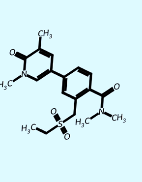 CCS(=O)(=O)Cc1cc(-c2cc(C)c(=O)n(C)c2)ccc1C(=O)N(C)C